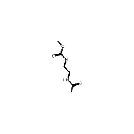 COC(=O)NCCNC(C)=O